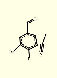 CC#N.O=Cc1ccc(F)c(Br)c1